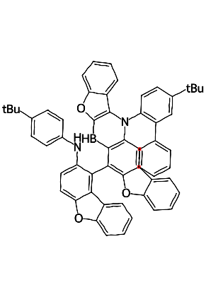 CC(C)(C)c1ccc(Nc2ccc3oc4ccccc4c3c2-c2c3c(cc4c2oc2ccccc24)N(c2ccc(C(C)(C)C)cc2-c2ccccc2)c2c(oc4ccccc24)B3)cc1